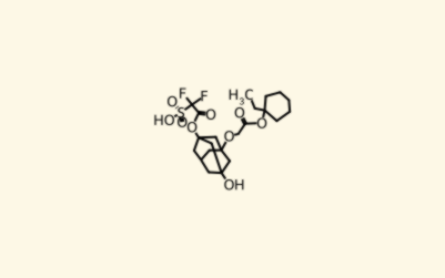 CCC1(OC(=O)COC23CC4CC(O)(C2)CC(OC(=O)C(F)(F)S(=O)(=O)O)(C4)C3)CCCCC1